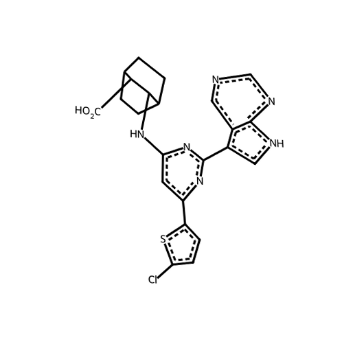 O=C(O)C1C2CCC(CC2)C1Nc1cc(-c2ccc(Cl)s2)nc(-c2c[nH]c3ncncc23)n1